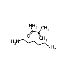 C=C(C)C(N)=O.NCCCCCN